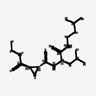 CCOC(=O)[C@@H]1O[C@H]1C(=O)N[C@H](CC(C)C)C(=O)NCCC(C)C